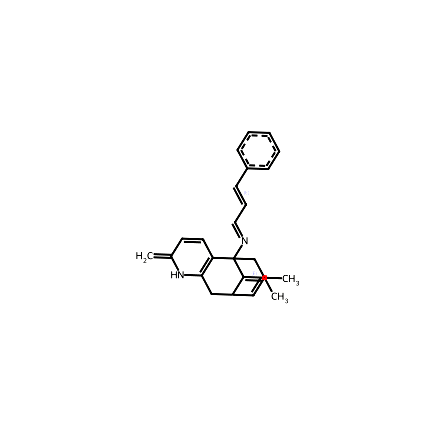 C=C1C=CC2=C(CC3C=C(C)CC2(N=C/C=C/c2ccccc2)/C3=C/C)N1